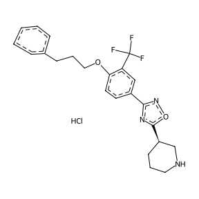 Cl.FC(F)(F)c1cc(-c2noc([C@@H]3CCCNC3)n2)ccc1OCCCc1ccccc1